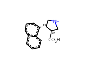 O=C(O)[C@@H]1CNC[C@H]1c1cccc2ccccc12